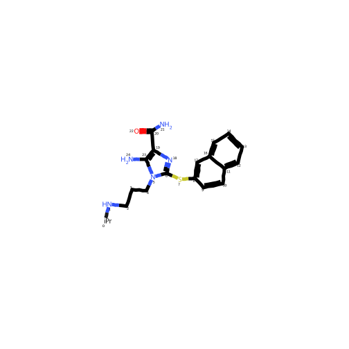 CC(C)NCCCn1c(Sc2ccc3ccccc3c2)nc(C(N)=O)c1N